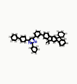 CC1(C)c2cc(-c3cccc(-c4cc(-c5ccc(-c6ccccc6)cc5)nc(-c5ccccc5)n4)c3)ccc2-c2cc3c(cc21)-c1ccccc1C31CCCCC1